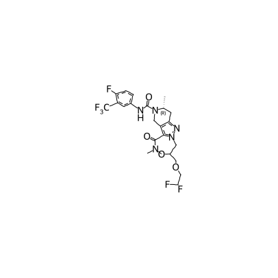 C[C@@H]1Cc2nn3c(c2CN1C(=O)Nc1ccc(F)c(C(F)(F)F)c1)C(=O)N(C)OC(COCC(F)F)C3